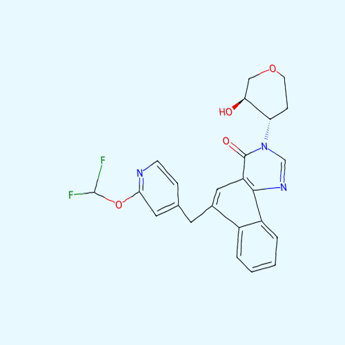 O=c1c2cc(Cc3ccnc(OC(F)F)c3)c3ccccc3c2ncn1[C@H]1CCOC[C@@H]1O